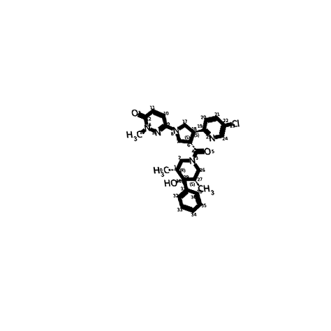 C[C@@H]1CN(C(=O)[C@@H]2CN(c3ccc(=O)n(C)n3)C[C@H]2c2ccc(Cl)cn2)C[C@H](C)[C@@]1(O)c1ccccc1